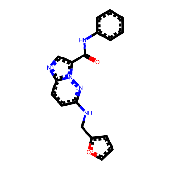 O=C(Nc1ccccc1)c1cnc2ccc(NCc3ccco3)nn12